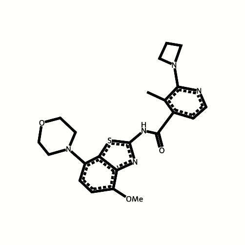 COc1ccc(N2CCOCC2)c2sc(NC(=O)c3ccnc(N4CCC4)c3C)nc12